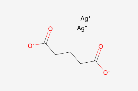 O=C([O-])CCCC(=O)[O-].[Ag+].[Ag+]